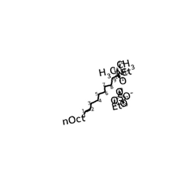 CCCCCCCCC=CCCCCCCCC(=O)[N+](C)(C)CC.CCOS(=O)(=O)[O-]